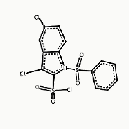 CCc1c(S(=O)(=O)Cl)n(S(=O)(=O)c2ccccc2)c2ccc(Cl)cc12